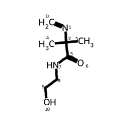 C=NC(C)(C)C(=O)NCCO